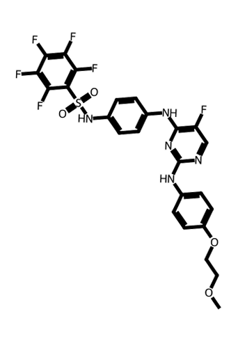 COCCOc1ccc(Nc2ncc(F)c(Nc3ccc(NS(=O)(=O)c4c(F)c(F)c(F)c(F)c4F)cc3)n2)cc1